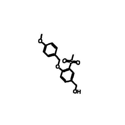 COc1ccc(COc2ccc(CO)cc2S(C)(=O)=O)cc1